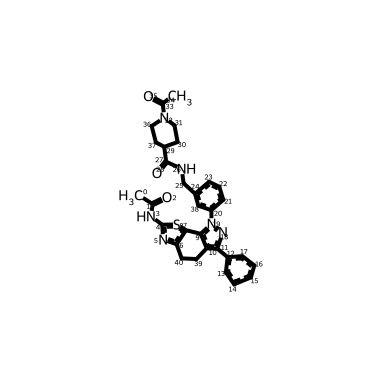 CC(=O)Nc1nc2c(s1)-c1c(c(-c3ccccc3)nn1-c1cccc(CNC(=O)C3CCN(C(C)=O)CC3)c1)CC2